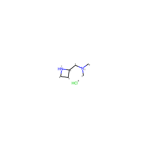 CN(C)CC1CCN1.Cl